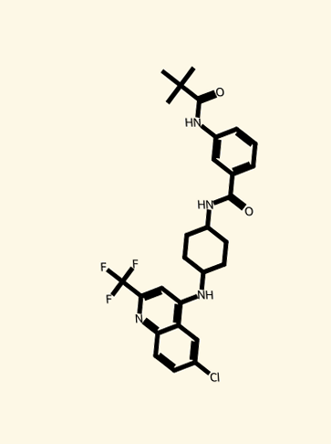 CC(C)(C)C(=O)Nc1cccc(C(=O)NC2CCC(Nc3cc(C(F)(F)F)nc4ccc(Cl)cc34)CC2)c1